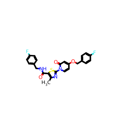 Cc1nc(-n2ccc(OCc3ccc(F)cc3)cc2=O)sc1C(=O)NCc1ccc(F)cc1